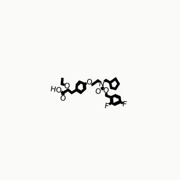 CCOC(Cc1ccc(OCCN(CC2CCCC2)C(=O)OCc2ccc(F)cc2F)cc1)C(=O)O